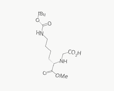 COC(=O)[C@H](CCCCNC(=O)OC(C)(C)C)NCC(=O)O